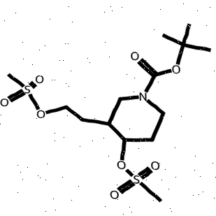 CC(C)(C)OC(=O)N1CCC(OS(C)(=O)=O)C(CCOS(C)(=O)=O)C1